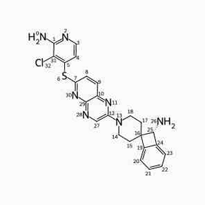 Nc1nccc(Sc2ccc3nc(N4CCC5(CC4)c4ccccc4[C@H]5N)cnc3n2)c1Cl